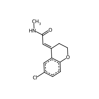 CNC(=O)/C=C1\CCOc2ccc(Cl)cc21